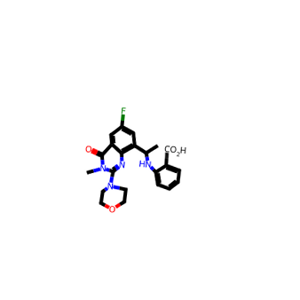 CC(Nc1ccccc1C(=O)O)c1cc(F)cc2c(=O)n(C)c(N3CCOCC3)nc12